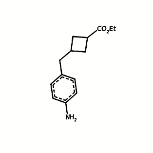 CCOC(=O)C1CC(Cc2ccc(N)cc2)C1